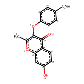 COc1ccc(Oc2c(C(F)(F)F)oc3cc(O)ccc3c2=O)cc1